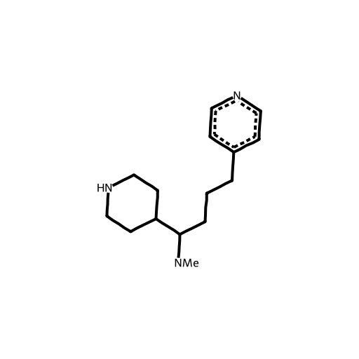 CNC(CCCc1ccncc1)C1CCNCC1